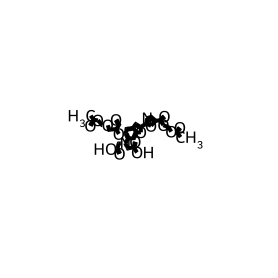 CC(=O)OCOCC(C=O)Oc1cc2cc(-c3ncc(C(=O)OCOC(C)=O)o3)oc2cc1N(CC(=O)O)CC(=O)O